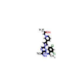 CC(Nc1nc(N2CC(C3CCCN(C[C@@H](C)O)C3)C2)cnc1C(=N)C#N)c1ccc(Cl)cc1Cl